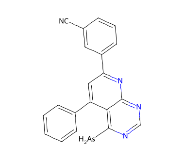 N#Cc1cccc(-c2cc(-c3ccccc3)c3c([AsH2])ncnc3n2)c1